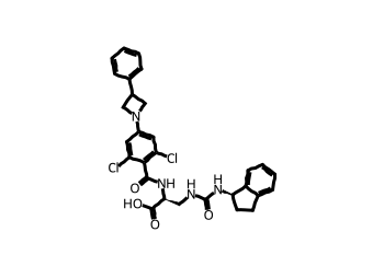 O=C(NC[C@H](NC(=O)c1c(Cl)cc(N2CC(c3ccccc3)C2)cc1Cl)C(=O)O)N[C@@H]1CCc2ccccc21